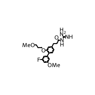 COCCCOc1cc(CCC(=O)NC(=N)N)ccc1-c1cc(F)cc(OC)c1